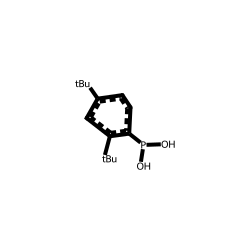 CC(C)(C)c1ccc(P(O)O)c(C(C)(C)C)c1